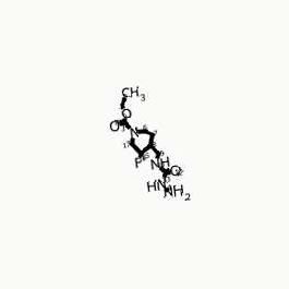 CCOC(=O)N1CCC(CNC(=O)NN)C(F)C1